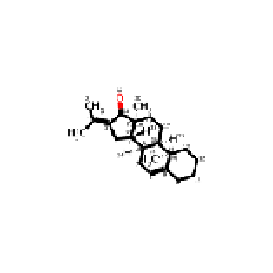 CC(C)=C1C[C@H]2[C@@H]3CC=C4CCCC[C@]4(C)[C@@H]3CC[C@]2(C)C1=O